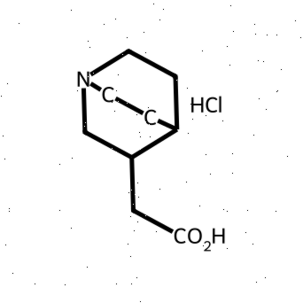 Cl.O=C(O)CC1CN2CCC1CC2